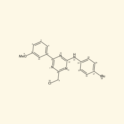 COc1cccc(-c2nc(CCl)nc(Nc3ccc(C(C)(C)C)cc3)n2)c1